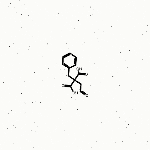 O=CCC(Cc1ccccc1)(C(=O)O)C(=O)O